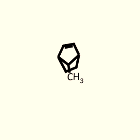 CC1C2C=CC1CC2